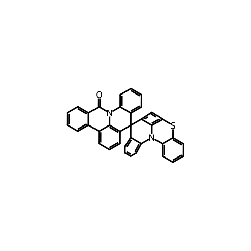 O=c1c2ccccc2c2cccc3c2n1-c1ccccc1C31c2ccccc2N2c3ccccc3Sc3cccc1c32